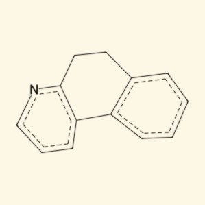 c1ccc2c(c1)CCc1ncccc1-2